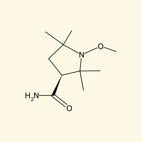 CON1C(C)(C)C[C@H](C(N)=O)C1(C)C